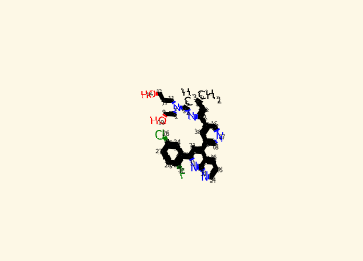 C=C/C=C(\N=C(/C)N(CCO)CCCO)c1cncc(-c2cc(-c3cc(Cl)ccc3F)nc3ncccc23)c1